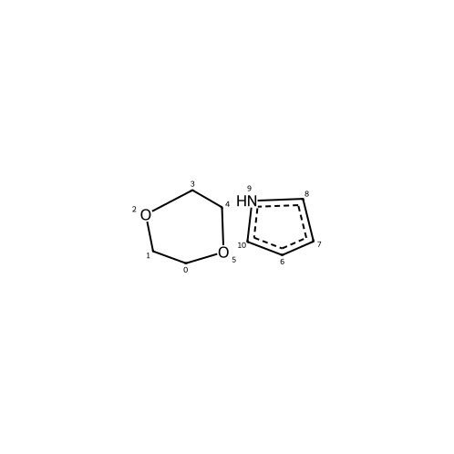 C1COCCO1.c1cc[nH]c1